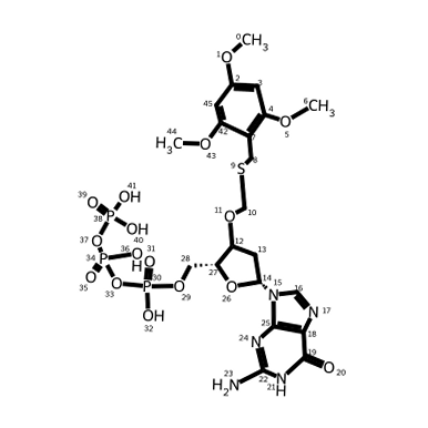 COc1cc(OC)c(CSCOC2C[C@H](n3cnc4c(=O)[nH]c(N)nc43)O[C@@H]2COP(=O)(O)OP(=O)(O)OP(=O)(O)O)c(OC)c1